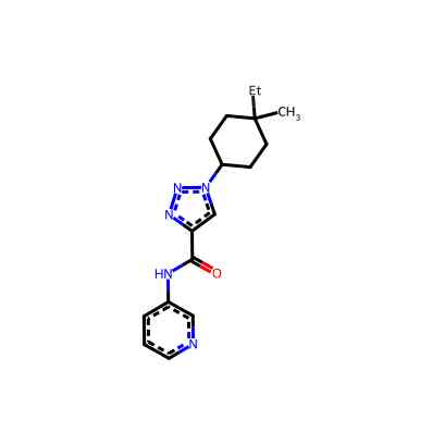 CCC1(C)CCC(n2cc(C(=O)Nc3cccnc3)nn2)CC1